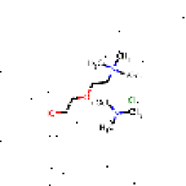 CCCCCCCCN(C)C.CCCCCCCC[N+](C)(C)CCOCCO.[Cl-]